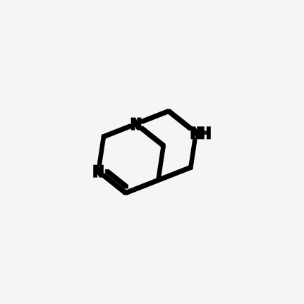 C1=NCN2CNCC1C2